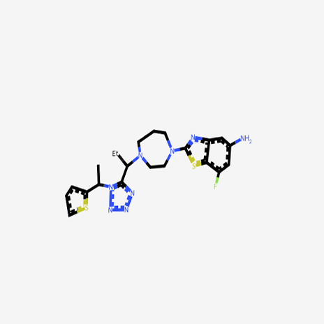 CCC(c1nnnn1C(C)c1cccs1)N1CCCN(c2nc3cc(N)cc(F)c3s2)CC1